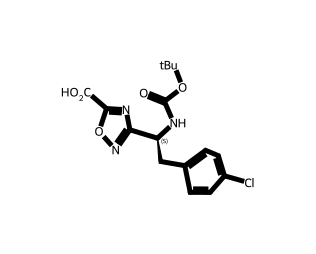 CC(C)(C)OC(=O)N[C@@H](Cc1ccc(Cl)cc1)c1noc(C(=O)O)n1